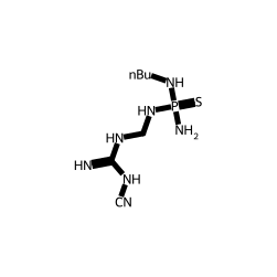 CCCCNP(N)(=S)NCNC(=N)NC#N